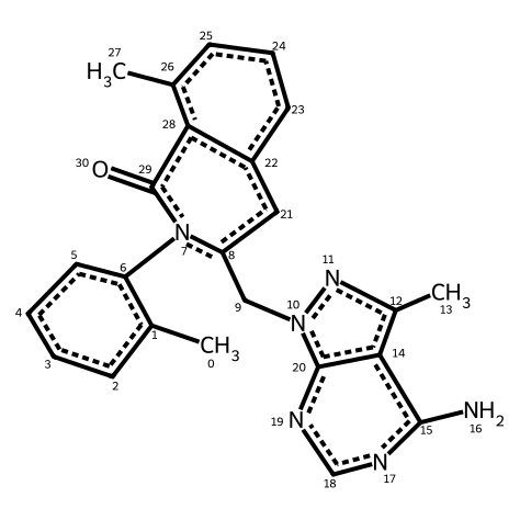 Cc1ccccc1-n1c(Cn2nc(C)c3c(N)ncnc32)cc2cccc(C)c2c1=O